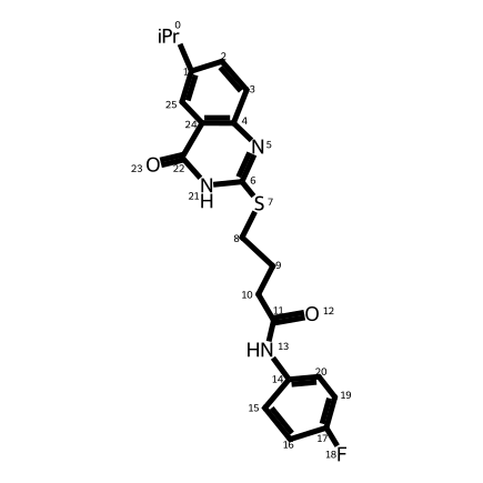 CC(C)c1ccc2nc(SCCCC(=O)Nc3ccc(F)cc3)[nH]c(=O)c2c1